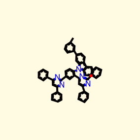 Cc1cccc(-c2ccc3c4ccccc4n(-c4ccc(-c5nc(-c6ccccc6)cc(-c6ccccc6)n5)cc4-c4cc(-c5ccccc5)nc(-c5ccccc5)n4)c3c2)c1